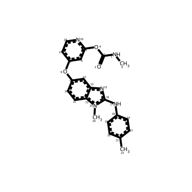 CNC(=O)Oc1cc(Oc2ccc3c(c2)nc(Nc2ccc(C)cc2)n3C)ccn1